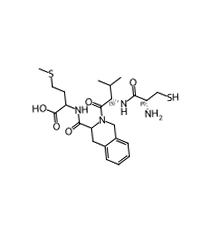 CSCCC(NC(=O)C1Cc2ccccc2CN1C(=O)[C@@H](NC(=O)[C@@H](N)CS)C(C)C)C(=O)O